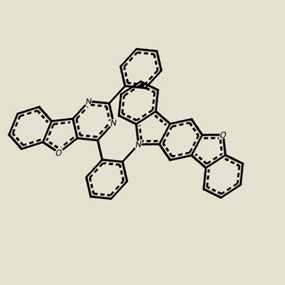 c1ccc(-c2nc(-c3ccccc3-n3c4ccccc4c4cc5oc6ccccc6c5cc43)c3oc4ccccc4c3n2)cc1